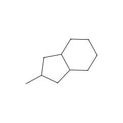 CC1CC2CCCCC2C1